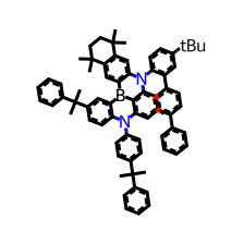 Cc1cc2c3c(c1)N(c1ccc(C(C)(C)C)cc1-c1ccc(-c4ccccc4)cc1)c1cc4c(cc1B3c1cc(C(C)(C)c3ccccc3)ccc1N2c1ccc(C(C)(C)c2ccccc2)cc1)C(C)(C)CCC4(C)C